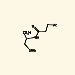 CSCC(NC(=O)CCC(C)=O)C(=O)O